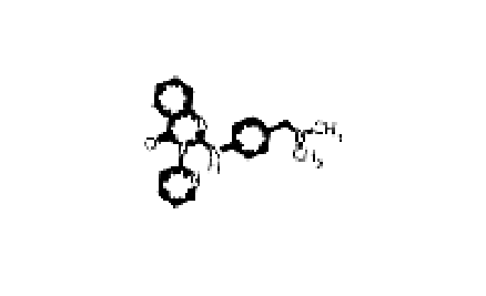 CN(C)Cc1ccc(Nc2nc3ccccc3c(=O)n2-c2ccccn2)cc1